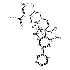 CCO[C@]12C=CN3C[C@@H](CC)[C@@H](/C(=C\OC)C(=O)OC)C[C@H]3[C@@]1(O)Nc1cc(-c3ccccc3)cc(OC)c12